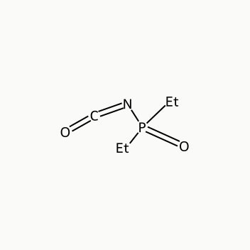 CCP(=O)(CC)N=C=O